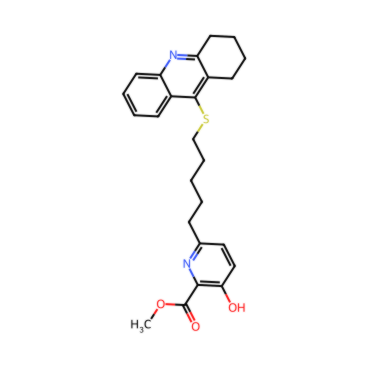 COC(=O)c1nc(CCCCCSc2c3c(nc4ccccc24)CCCC3)ccc1O